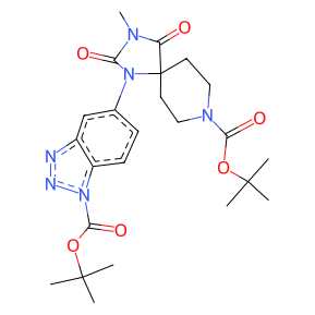 CN1C(=O)N(c2ccc3c(c2)nnn3C(=O)OC(C)(C)C)C2(CCN(C(=O)OC(C)(C)C)CC2)C1=O